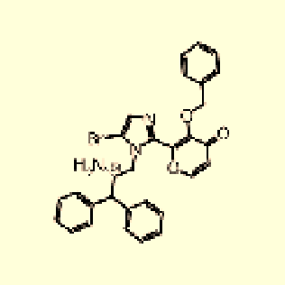 N[C@H](Cn1c(Br)cnc1-c1occc(=O)c1OCc1ccccc1)C(c1ccccc1)c1ccccc1